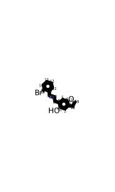 Oc1cc2c(cc1C/C=C/c1ccccc1Br)OCC2